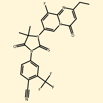 CCc1cc(=O)n2cc(N3C(=S)N(c4ccc(C#N)c(C(F)(F)F)c4)C(=O)C3(C)C)cc(F)c2n1